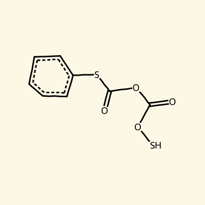 O=C(OS)OC(=O)Sc1ccccc1